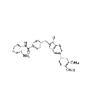 COc1ccc(-c2ccc3c(c2)CN(Cc2ccc(C(=O)Nc4ccccc4N)cc2)C3=O)cc1OC